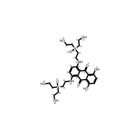 O=C1c2c(O)ccc(O)c2C(=O)c2c(NCC[N+]([O-])(CCO)CCO)ccc(NCC[N+]([O-])(CCO)CCO)c21